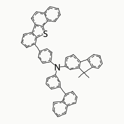 CC1(C)c2ccccc2-c2ccc(N(c3ccc(-c4cccc5c4sc4c6ccccc6ccc54)cc3)c3cccc(-c4cccc5ccccc45)c3)cc21